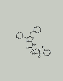 CC(C)(NS(=O)(=O)c1ccccc1F)C(=O)Nc1nc(-c2ccccc2)c(Cc2ccccc2)s1